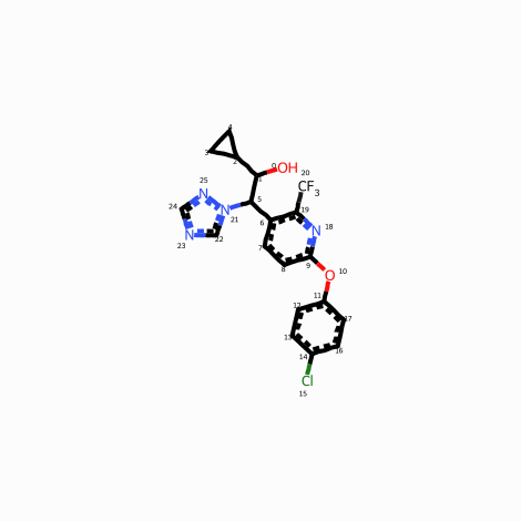 OC(C1CC1)C(c1ccc(Oc2ccc(Cl)cc2)nc1C(F)(F)F)n1cncn1